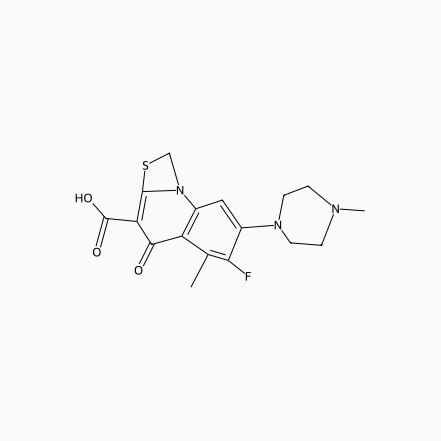 Cc1c(F)c(N2CCN(C)CC2)cc2c1c(=O)c(C(=O)O)c1n2CS1